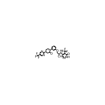 CC(COc1cccc(N2CCN(c3ncc(C(F)(F)F)cn3)CC2=O)c1)Nc1cn[nH]c(=O)c1C(F)(F)F